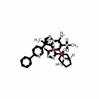 CC(=O)Nc1nnc(C(=O)N2[C@@H]3CC[C@H]2C[C@@H](c2nc4c(-c5ccc(-c6ccccc6)nc5)cnn4c(N)c2S(C)(=O)=O)C3)[nH]1